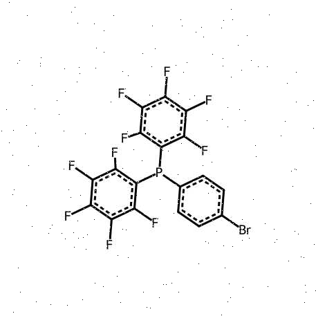 Fc1c(F)c(F)c(P(c2ccc(Br)cc2)c2c(F)c(F)c(F)c(F)c2F)c(F)c1F